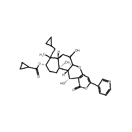 CC1(CC2CC2)[C@@H](OC(=O)C2CC2)CC[C@]2(C)[C@@H]3C(Oc4cc(-c5cccnc5)oc(=O)c4[C@@H]3O)C(O)C[C@@H]12